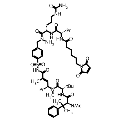 CN[C@H](C(=O)N[C@H](C(=O)N(C)[C@H](/C=C(\C)C(=O)NS(=O)(=O)c1ccc(CN(N)C(=O)[C@H](CCCNC(N)=O)NC(=O)[C@@H](NC(=O)CCCCCN2C(=O)C=CC2=O)C(C)C)cc1)C(C)C)C(C)(C)C)C(C)(C)c1ccccc1